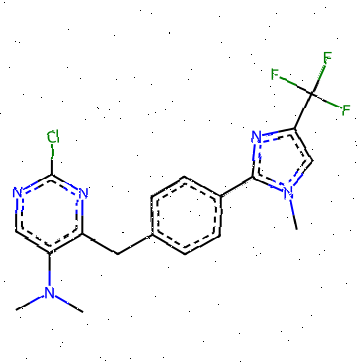 CN(C)c1cnc(Cl)nc1Cc1ccc(-c2nc(C(F)(F)F)cn2C)cc1